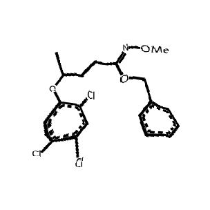 CON=C(CCC(C)Oc1cc(Cl)c(Cl)cc1Cl)OCc1ccccc1